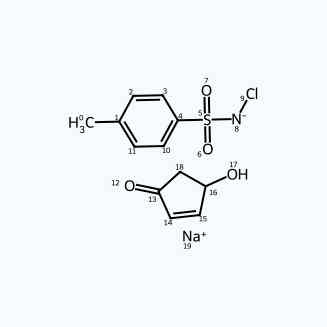 Cc1ccc(S(=O)(=O)[N-]Cl)cc1.O=C1C=CC(O)C1.[Na+]